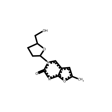 Cc1cc2cn(C3CCC(CO)O3)c(=O)nc2o1